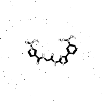 CN(C)c1cccc(-c2csc(NC(=O)CNC(=O)c3ccn([S+](C)[O-])c3)n2)c1